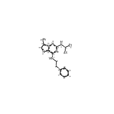 CCC(CC)Nc1nc(NCCc2ccccc2)c2ncc(C(C)C)n2n1